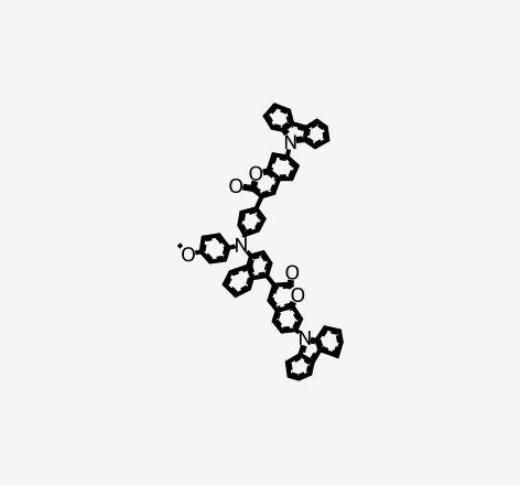 COc1ccc(N(c2ccc(-c3cc4ccc(-n5c6ccccc6c6ccccc65)cc4oc3=O)cc2)c2ccc(-c3cc4ccc(-n5c6ccccc6c6ccccc65)cc4oc3=O)c3ccccc23)cc1